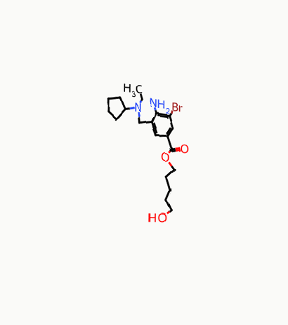 CCN(Cc1cc(C(=O)OCCCCCO)cc(Br)c1N)C1CCCC1